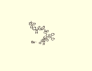 CC(C)(C)OC(=O)N[C@@H]1C(=O)N2C(C(=O)OC(c3ccccc3)c3ccccc3)=C(C=C3CCN(Cc4ccc[n+](CC(=O)Nc5ccc(OC(=O)OC(C)(C)C)cc5)c4)C3=O)CS[C@H]12.[Br-]